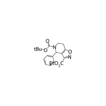 CCOC(=O)c1noc2c1C(c1ccccc1)N(C(=O)OC(C)(C)C)CC2